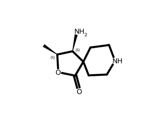 C[C@@H]1OC(=O)C2(CCNCC2)[C@@H]1N